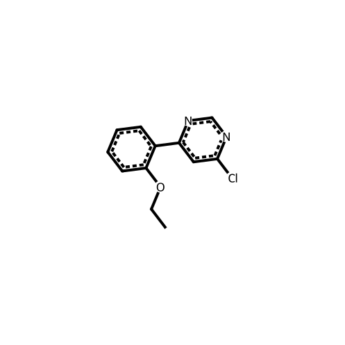 CCOc1ccccc1-c1cc(Cl)ncn1